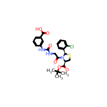 CC(C)(C)OC(=O)[C@@H]1CS[C@H](c2ccccc2Cl)N1C(=O)CNC(=O)Nc1cccc(C(=O)O)c1